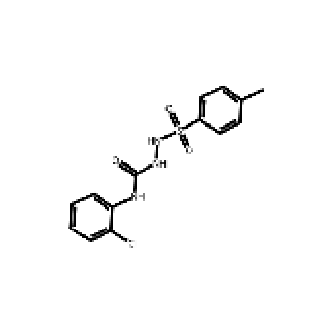 Cc1ccc(S(=O)(=O)NNC(=O)Nc2ccccc2Cl)cc1